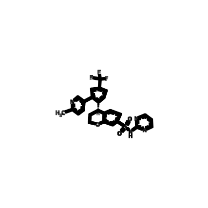 Cc1ccc(-c2cc(C(F)(F)F)ccc2[C@H]2CCOc3cc(S(=O)(=O)Nc4ncccn4)ccc32)cn1